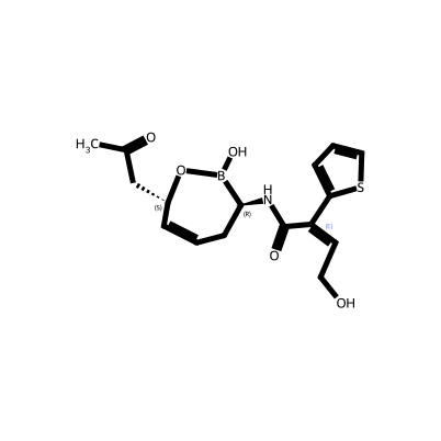 CC(=O)C[C@H]1C=CC[C@H](NC(=O)/C(=C\CO)c2cccs2)B(O)O1